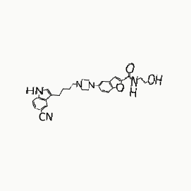 N#Cc1ccc2[nH]cc(CCCCN3CCN(c4ccc5oc(C(=O)NCCO)cc5c4)CC3)c2c1